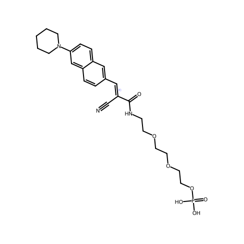 N#C/C(=C\c1ccc2cc(N3CCCCC3)ccc2c1)C(=O)NCCOCCOCCOP(=O)(O)O